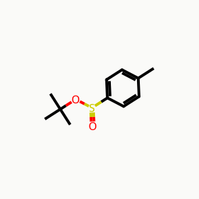 Cc1ccc(S(=O)OC(C)(C)C)cc1